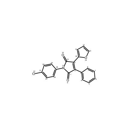 O=C1C(c2ccccc2)=C(c2ccco2)C(=O)N1c1ccc(Cl)cc1